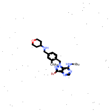 CCCCNc1ncnc2c(Br)nn(Cc3ccc(CNC4CCOCC4)cc3OC)c12